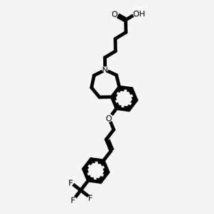 O=C(O)CCCCN1CCCc2c(cccc2OC/C=C/c2ccc(C(F)(F)F)cc2)C1